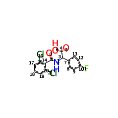 O=C(NC(C(=O)O)c1ccc(F)cc1)c1c(Cl)cccc1Cl